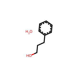 O.OCCCc1ccccc1